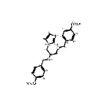 COc1ccc(CNC(COCc2ccc(OC)cc2)Cn2ccnc2)cc1